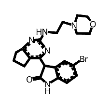 O=C1Nc2ccc(Br)cc2C1c1nc(NCCN2CCOCC2)nc2c1CCC2